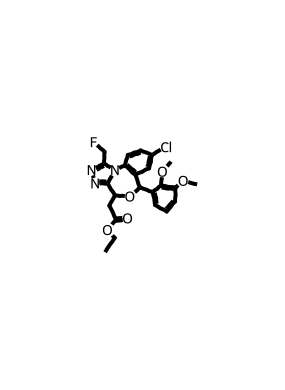 CCOC(=O)CC1OC(c2cccc(OC)c2OC)c2cc(Cl)ccc2-n2c(CF)nnc21